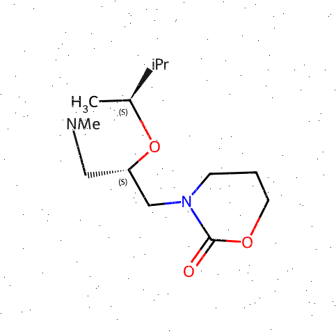 CNC[C@@H](CN1CCCOC1=O)O[C@@H](C)C(C)C